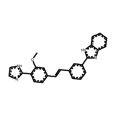 COc1cc(/C=C/c2cccc(-c3nc4ccccc4[nH]3)c2)ccc1-c1ncc[nH]1